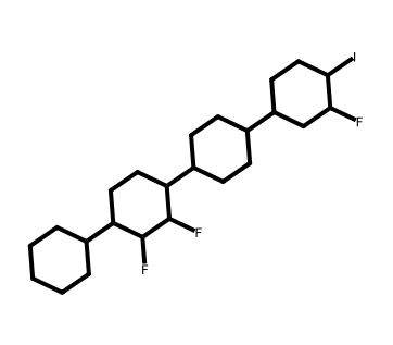 FC1CC(C2CCC(C3CCC(C4CCCCC4)C(F)C3F)CC2)CCC1I